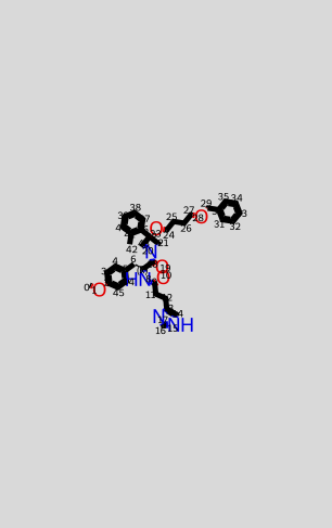 COc1ccc(C[C@@H](NC(=O)CCc2c[nH]cn2)C(=O)N2CC(OCCCCOCc3ccccc3)(c3ccccc3C)C2)cc1